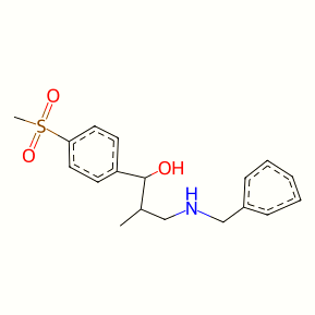 CC(CNCc1ccccc1)C(O)c1ccc(S(C)(=O)=O)cc1